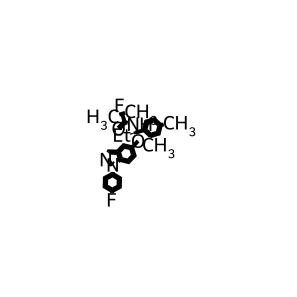 CC[C@@](NC(=O)C(C)(C)F)(Oc1ccc2c(cnn2-c2ccc(F)cc2)c1)c1ccc(C)cc1C